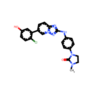 CN1CCN(c2ccc(Nc3nc4ccc(-c5cc(O)ccc5Cl)cn4n3)cc2)C1=O